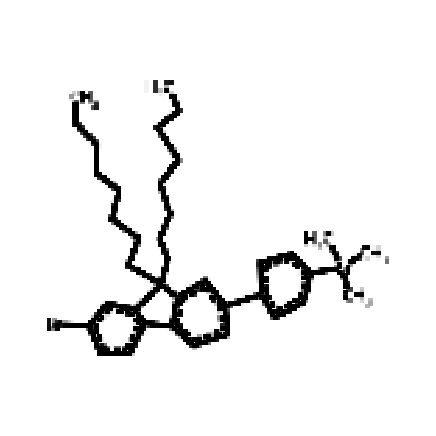 CCCCCCCCC1(CCCCCCCC)c2cc(Br)ccc2-c2ccc(-c3ccc([Si](C)(C)C)cc3)cc21